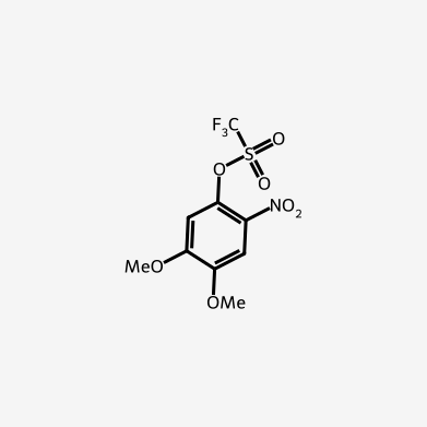 COc1cc(OS(=O)(=O)C(F)(F)F)c([N+](=O)[O-])cc1OC